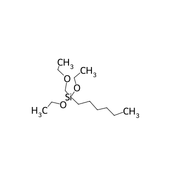 CCCCCC[Si](COCC)(OCC)OCC